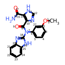 COc1cccc(N(C(=O)c2nc[nH]c2C(N)=O)c2nc3ccccc3[nH]2)c1